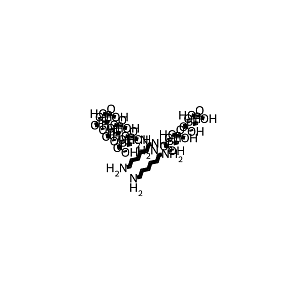 NCCCCCC(N)N.NCCCCCC(N)N.O=P(O)(O)CP(=O)(O)O.O=P(O)(O)CP(=O)(O)O.O=P(O)(O)CP(=O)(O)O.O=P(O)(O)CP(=O)(O)O.O=P(O)(O)CP(=O)(O)O